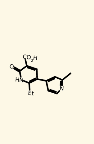 CCc1[nH]c(=O)c(C(=O)O)cc1-c1ccnc(C)c1